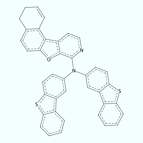 C1=Cc2c(ccc3oc4c(N(c5ccc6sc7ccccc7c6c5)c5ccc6sc7ccccc7c6c5)nccc4c23)CC1